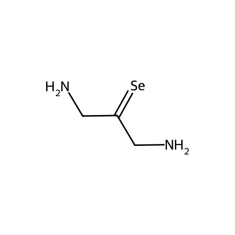 NCC(=[Se])CN